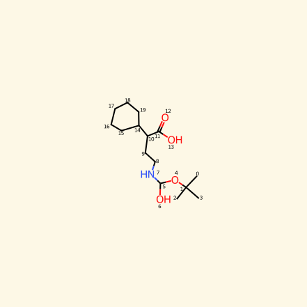 CC(C)(C)OC(O)NCCC(C(=O)O)C1CCCCC1